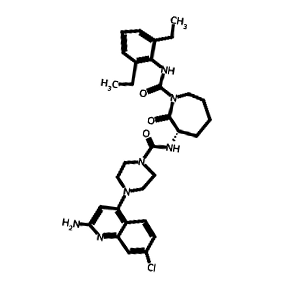 CCc1cccc(CC)c1NC(=O)N1CCCC[C@H](NC(=O)N2CCN(c3cc(N)nc4cc(Cl)ccc34)CC2)C1=O